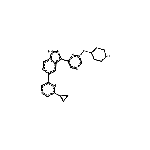 c1cc2[nH]nc(-c3cncc(OC4CCNCC4)n3)c2cc1-c1cncc(C2CC2)n1